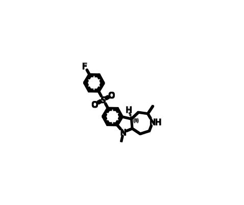 CC1C[C@@H]2c3cc(S(=O)(=O)c4ccc(F)cc4)ccc3N(C)C2CCN1